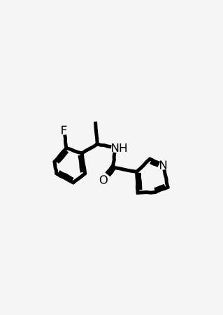 CC(NC(=O)c1cccnc1)c1ccccc1F